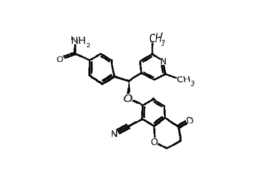 Cc1cc([C@@H](Oc2ccc3c(c2C#N)OCCC3=O)c2ccc(C(N)=O)cc2)cc(C)n1